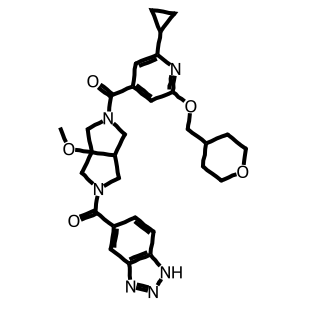 COC12CN(C(=O)c3cc(OCC4CCOCC4)nc(C4CC4)c3)CC1CN(C(=O)c1ccc3[nH]nnc3c1)C2